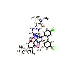 CCOc1cc(C(C)(C)C#N)ccc1C1(C(=O)N2CCN(CC(=O)N(C)C(C)C)CC2)N[C@H](c2ccc(Cl)cc2)[C@H](c2ccc(Cl)cc2)N1